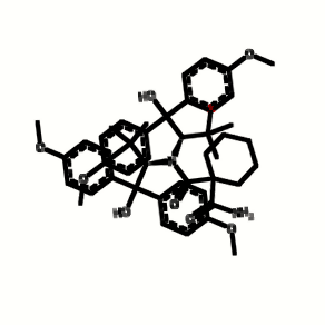 COc1ccc(C(O)(c2ccc(OC)cc2)[C@H](N(C(=O)C2(C(N)=O)CCCCC2)[C@H](C(C)(C)C)C(O)(c2ccc(OC)cc2)c2ccc(OC)cc2)C(C)(C)C)cc1